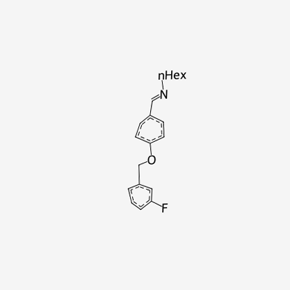 CCCCCCN=Cc1ccc(OCc2cccc(F)c2)cc1